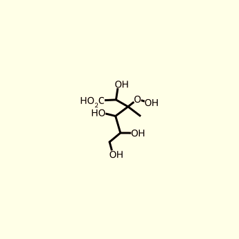 CC(OO)(C(O)C(=O)O)C(O)C(O)CO